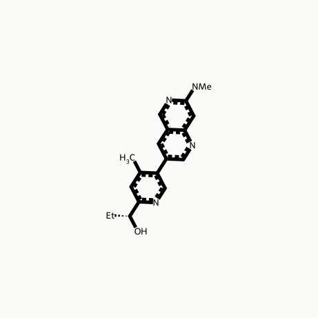 CC[C@@H](O)c1cc(C)c(-c2cnc3cc(NC)ncc3c2)cn1